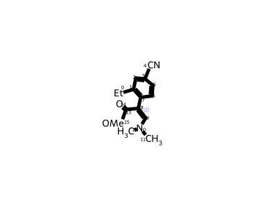 CCc1cc(C#N)ccc1/C(=C/N(C)C)C(=O)OC